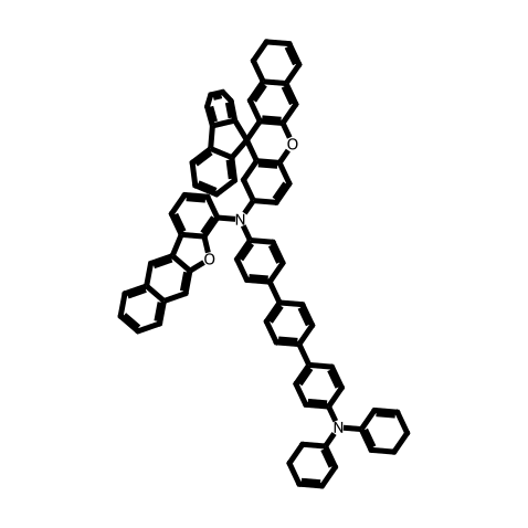 C1=CCCC(N(C2=CCCC=C2)c2ccc(-c3ccc(-c4ccc(N(c5cccc6c5oc5cc7ccccc7cc56)C5C=CC6=C(C5)C5(c7cc8c(cc7O6)C=CCC8)c6ccccc6-c6ccccc65)cc4)cc3)cc2)=C1